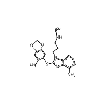 CC(C)NCCCn1c(Sc2cc3c(cc2[124I])OCO3)nc2c(N)nccc21